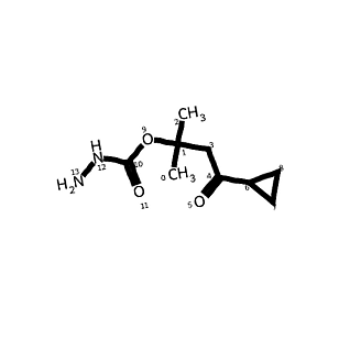 CC(C)(CC(=O)C1CC1)OC(=O)NN